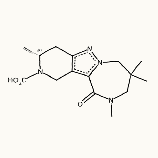 C[C@@H]1Cc2nn3c(c2CN1C(=O)O)C(=O)N(C)CC(C)(C)C3